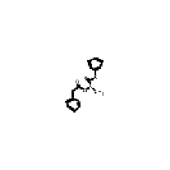 CN(OC(=O)Cc1ccccc1)C(=S)Sc1ccccc1